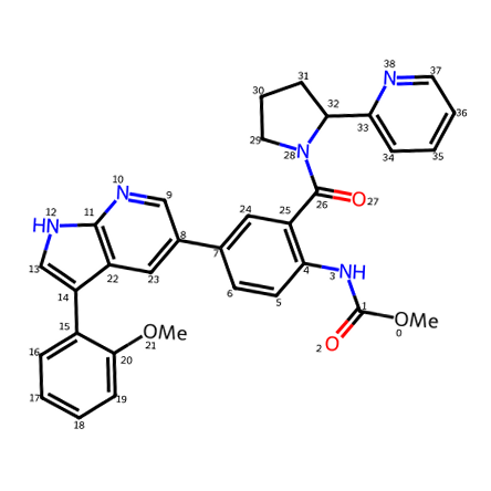 COC(=O)Nc1ccc(-c2cnc3[nH]cc(-c4ccccc4OC)c3c2)cc1C(=O)N1CCCC1c1ccccn1